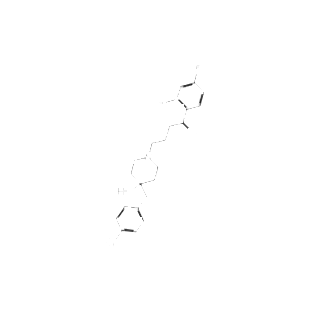 O=C(CCCN1CCC(O)(Cc2ccc(Cl)cc2)CC1)c1ccc(F)cc1Br